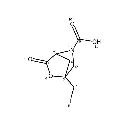 O=C1OC2(CI)CC1N(C(=O)O)C2